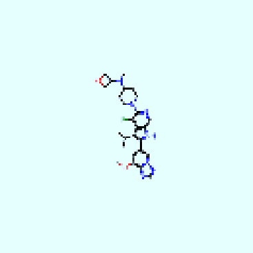 COc1cc(-c2[nH]c3cnc(N4CCC(N(C)C5COC5)CC4)c(F)c3c2C(C)C)cn2ncnc12